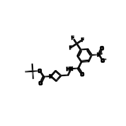 CC(C)(C)OC(=O)N1CC(CNC(=O)c2cc([N+](=O)[O-])cc(C(F)(F)F)c2)C1